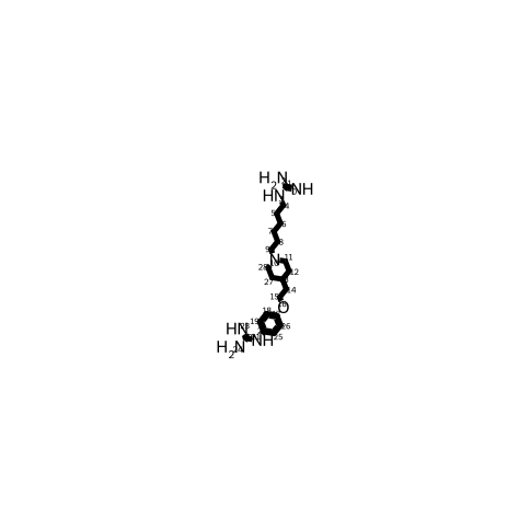 N=C(N)NCCCCCCN1CCC(CCOc2ccc(NC(=N)N)cc2)CC1